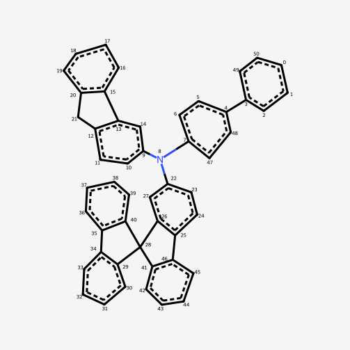 c1ccc(-c2ccc(N(c3ccc4c(c3)-c3ccccc3C4)c3ccc4c(c3)C3(c5ccccc5-c5ccccc53)c3ccccc3-4)cc2)cc1